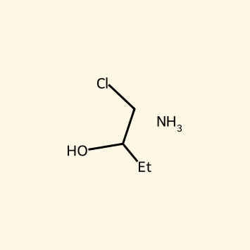 CCC(O)CCl.N